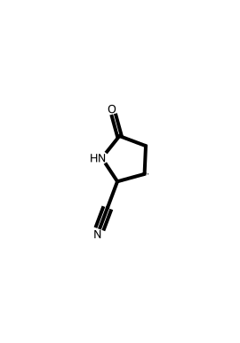 N#CC1[CH]CC(=O)N1